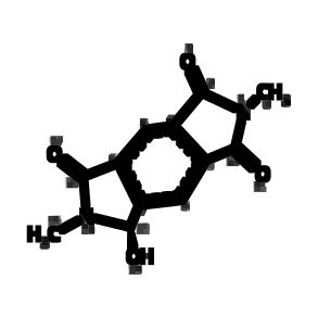 CN1C(=O)c2cc3c(cc2C1=O)[C@@H](O)N(C)C3=O